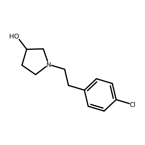 OC1CCN(CCc2ccc(Cl)cc2)C1